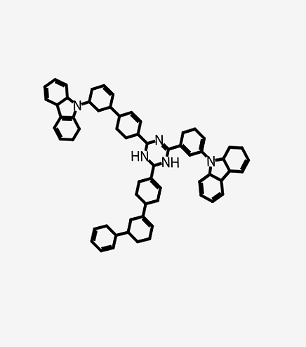 C1=CCC(C2CCC=C(C3CC=C(C4NC(C5=CC(N6C7C=CC=CC7C7C=CCCC76)=CCC5)=NC(C5C=CC(C6C=CCC(N7C8=C(C=CCC8)C8C=CC=CC87)C6)CC5)N4)CC3)C2)C=C1